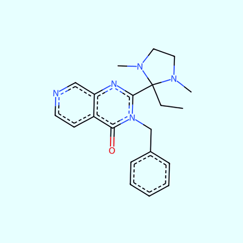 CCC1(c2nc3cnccc3c(=O)n2Cc2ccccc2)N(C)CCN1C